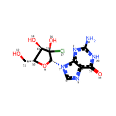 Nc1nc2c(ncn2[C@@H]2O[C@H](CO)[C@@H](O)[C@]2(O)Cl)c(=O)[nH]1